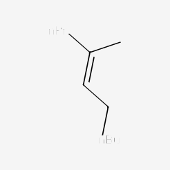 CCCCC/C=C(\C)CCC